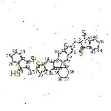 S=C1C(=Cc2cc3cc4c(cc3s2)-c2cc3sc(/C=C5\C(=S)c6ccccc6C5S)cc3cc2C42CCCCC2)C(=S)c2ccccc21